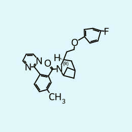 Cc1ccc(-c2ncccn2)c(C(=O)N2C3CC(C3)C[C@@H]2CCOc2ccc(F)cc2)c1